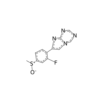 C[S+]([O-])c1ccc(-c2cn3cncnc3n2)c(F)c1